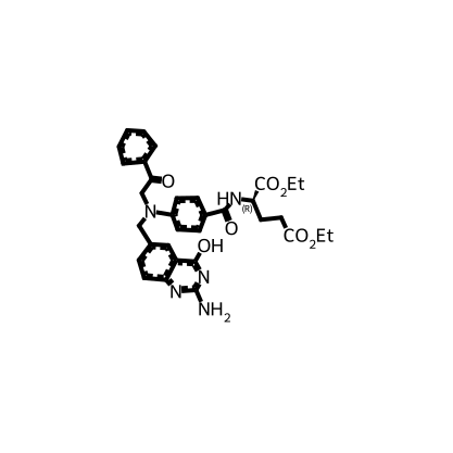 CCOC(=O)CC[C@@H](NC(=O)c1ccc(N(CC(=O)c2ccccc2)Cc2ccc3nc(N)nc(O)c3c2)cc1)C(=O)OCC